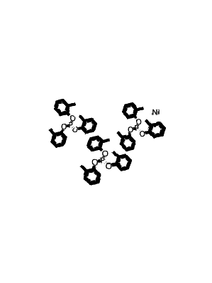 Cc1ccccc1OP(Oc1ccccc1C)Oc1ccccc1C.Cc1ccccc1OP(Oc1ccccc1C)Oc1ccccc1C.Cc1ccccc1OP(Oc1ccccc1C)Oc1ccccc1C.[Ni]